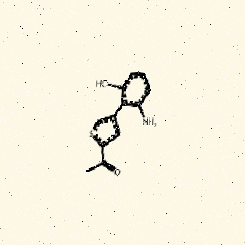 CC(=O)c1cc(-c2c(N)cccc2O)cs1